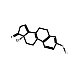 CCOc1ccc2c(c1)CCC1=C2CC[C@]2(CC)C(=O)CC=C12